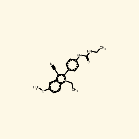 CCNC(=O)Nc1ccc(-c2c(C#N)c3cc(OC)ccc3n2CC)cc1